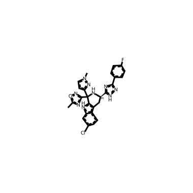 Cc1nc(C2(c3ccn(C)n3)N[C@@H](c3nc(-c4ccc(F)cc4)n[nH]3)Cc3c2[nH]c2cc(Cl)ccc32)no1